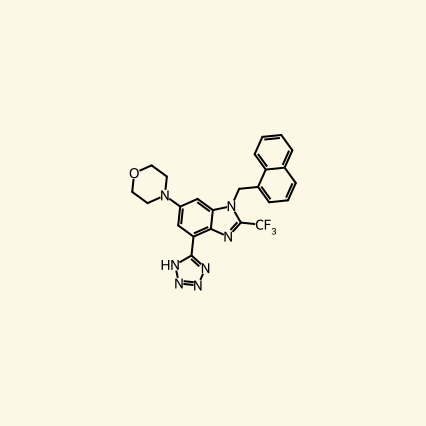 FC(F)(F)c1nc2c(-c3nnn[nH]3)cc(N3CCOCC3)cc2n1Cc1cccc2ccccc12